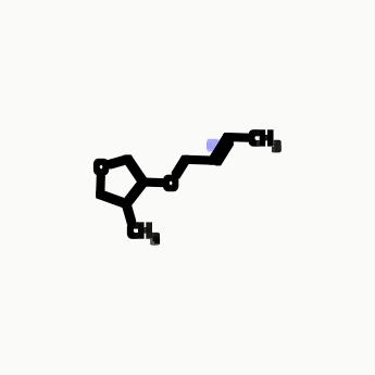 C/C=C/COC1COCC1C